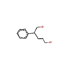 BrCCCC(CBr)c1ccccc1